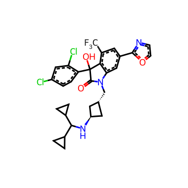 O=C1N(C[C@H]2C[C@H](NC(C3CC3)C3CC3)C2)c2cc(-c3ncco3)cc(C(F)(F)F)c2C1(O)c1ccc(Cl)cc1Cl